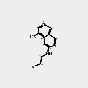 Clc1cncc2ccc(NCCI)cc12